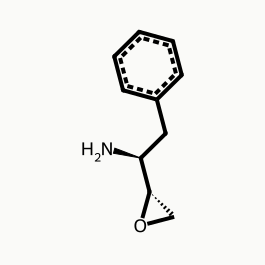 N[C@@H](Cc1ccccc1)[C@@H]1CO1